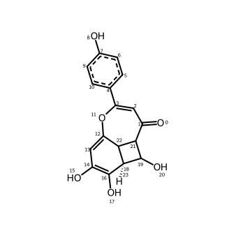 O=C1C=C(c2ccc(O)cc2)OC2=CC(O)=C(O)[C@@H]3C(O)C1C23